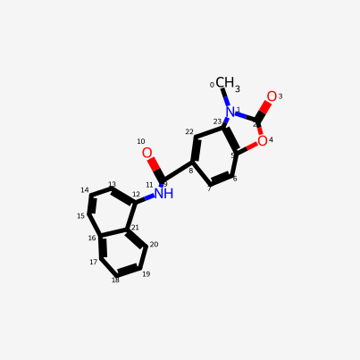 Cn1c(=O)oc2ccc(C(=O)Nc3cccc4ccccc34)cc21